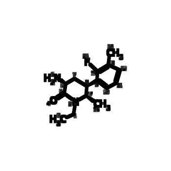 CCN1C(=O)[C@@H](N)C[C@@H](c2cccc(C)c2F)[C@H]1C